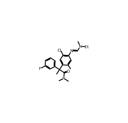 CCN(C)C=Nc1cc(C)c(C(C)(C(=O)N(C)C)c2cccc(F)c2)cc1Cl